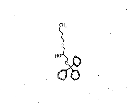 CCCCCOCC(O)COC(c1ccccc1)(c1ccccc1)c1ccccc1